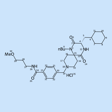 CCCCN1C(=O)[C@H](CC2CCCCC2)NC(=O)C12CCN(Cc1ccc(C(=O)NCCCOC)cc1)CC2.Cl